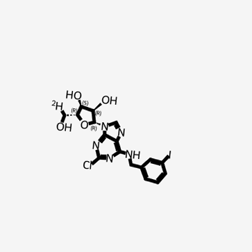 [2H]C(O)[C@H]1O[C@@H](n2cnc3c(NCc4cccc(I)c4)nc(Cl)nc32)[C@H](O)[C@@H]1O